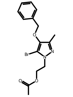 CC(=O)OCCn1nc(C)c(OCc2ccccc2)c1Br